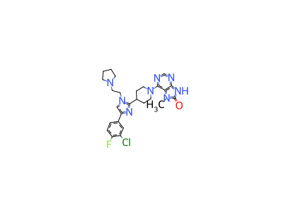 Cn1c(=O)[nH]c2ncnc(N3CCC(c4nc(-c5ccc(F)c(Cl)c5)cn4CCN4CCCC4)CC3)c21